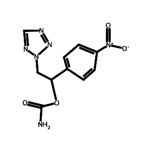 NC(=O)OC(Cn1ncnn1)c1ccc([N+](=O)[O-])cc1